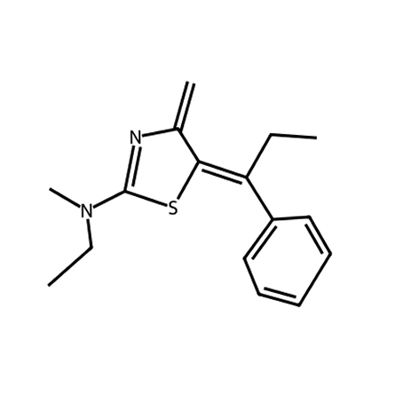 C=c1nc(N(C)CC)s/c1=C(/CC)c1ccccc1